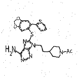 CC(=O)N1CCC(CCn2c(Sc3cc4c(cc3-c3cccs3)OCO4)nc3c(N)ncnc32)CC1